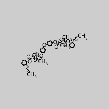 CCSCc1ccccc1OC(=O)N(C)SN(C)C(=O)Oc1ccc(Oc2ccc(OC(=O)N(C)SN(C)C(=O)Oc3ccccc3CSCC)cc2)cc1